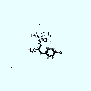 CC(CO[Si](C)(C)C(C)(C)C)Cc1ccc(Br)cc1